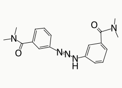 CN(C)C(=O)c1cccc(/N=N/Nc2cccc(C(=O)N(C)C)c2)c1